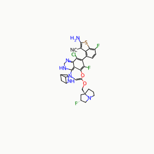 N#Cc1c(N)sc2c(F)ccc(-c3c(F)c4c5c(c3Cl)=NCNC=5N(C3C5CNC3C5)C=C(OC[C@@]35CCCN3C[C@H](F)C5)O4)c12